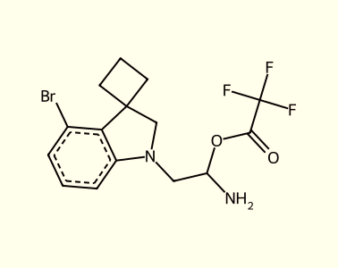 NC(CN1CC2(CCC2)c2c(Br)cccc21)OC(=O)C(F)(F)F